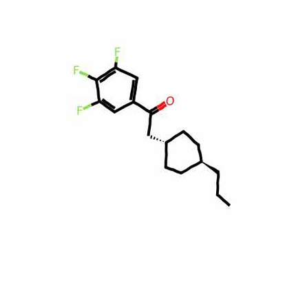 CCC[C@H]1CC[C@H](CC(=O)c2cc(F)c(F)c(F)c2)CC1